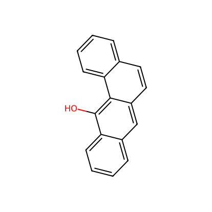 Oc1c2ccccc2cc2ccc3ccccc3c12